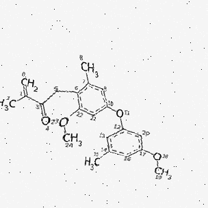 C=C(C)C(=O)Cc1c(C)cc(Oc2cc(C)cc(OC)c2)cc1OC